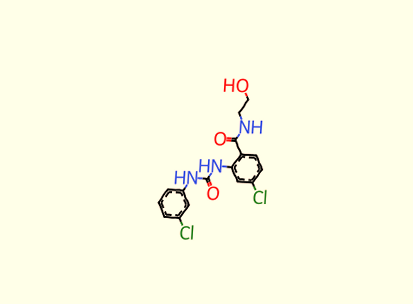 O=C(Nc1cccc(Cl)c1)Nc1cc(Cl)ccc1C(=O)NCCO